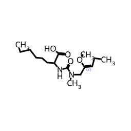 CC/C=C(/CN(C)C(=O)NC(CCCCCC)C(=O)O)OC